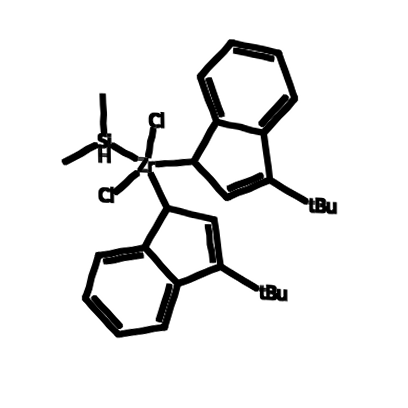 C[SiH](C)[Zr]([Cl])([Cl])([CH]1C=C(C(C)(C)C)c2ccccc21)[CH]1C=C(C(C)(C)C)c2ccccc21